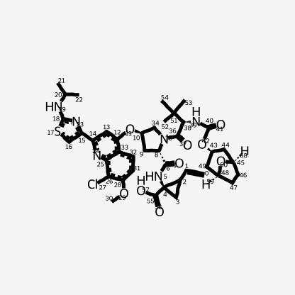 C=CC1C[C@]1(NC(=O)[C@@H]1C[C@@H](Oc2cc(-c3csc(NC(C)C)n3)nc3c(Cl)c(OC)ccc23)CN1C(=O)[C@@H](NC(=O)O[C@@H]1C[C@H]2CC[C@@H](C1)O2)C(C)(C)C)C(=O)O